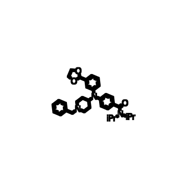 CC(C)N(C(=O)c1ccc(N(c2cccc(C3OCCO3)c2)C2CCN(Cc3ccccc3)CC2)cc1)C(C)C